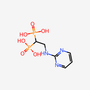 O=P(O)(O)C(CNc1ncccn1)P(=O)(O)O